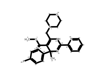 COC(=O)C1=C(CN2CCOCC2)NC(c2ccccn2)=NC1(C)c1ccc(F)cc1